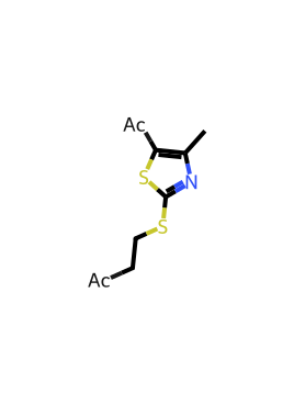 CC(=O)CCSc1nc(C)c(C(C)=O)s1